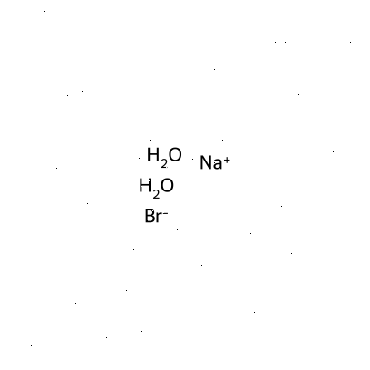 O.O.[Br-].[Na+]